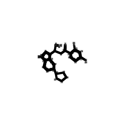 O=C(CC(C(=O)O)c1c[nH]c2ccc(C3CCCC3)cc12)c1ccc(F)cc1F